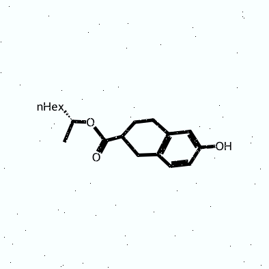 CCCCCC[C@@H](C)OC(=O)C1CCc2cc(O)ccc2C1